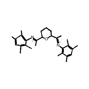 C/C(=N\c1c(C)c(C)cc(C)c1C)C1CCCC(/C(C)=N/c2c(C)c(C)cc(C)c2C)O1